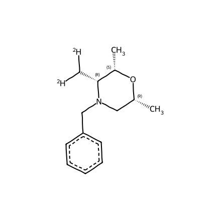 [2H]C([2H])[C@@H]1[C@H](C)O[C@H](C)CN1Cc1ccccc1